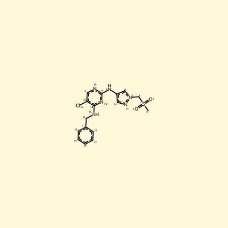 CS(=O)(=O)Cn1cc(Nc2ncc(Cl)c(NCc3ccccc3)n2)cn1